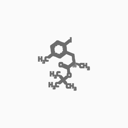 Cc1ccc(I)c(C[C@H](C)C(=O)OC(C)(C)C)c1